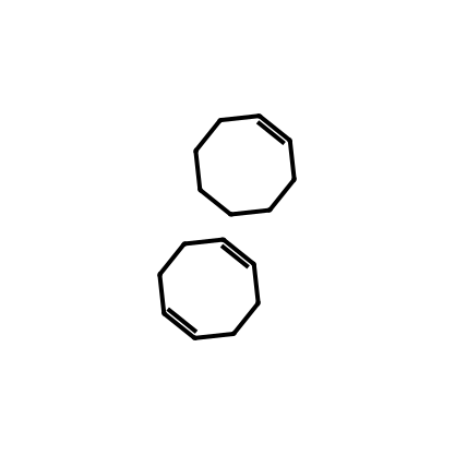 C1=CCCC=CCC1.C1=CCCCCCC1